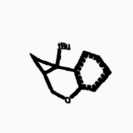 CC(C)(C)C12CC1COc1ccccc12